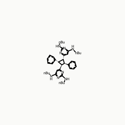 CCCCNc1cc([C@H]2[C@H](c3ccccc3)[C@H](c3cc(NCCCC)nc(NCCCC)n3)[C@H]2c2ccccc2)nc(NCCCC)n1